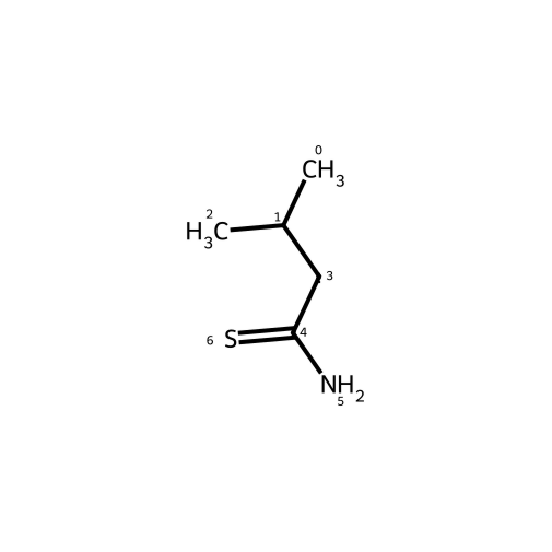 CC(C)[CH]C(N)=S